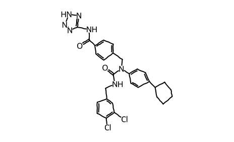 O=C(Nc1nn[nH]n1)c1ccc(CN(C(=O)NCc2ccc(Cl)c(Cl)c2)c2ccc(C3CCCCC3)cc2)cc1